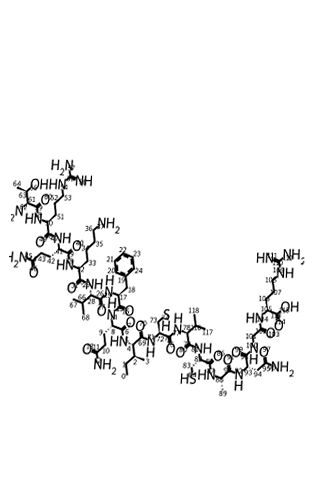 CC[C@H](C)[C@H](NC(=O)[C@H](CCC(N)=O)NC(=O)[C@H](Cc1ccccc1)NC(=O)[C@@H](NC(=O)[C@H](CCCCN)NC(=O)[C@H](CCC(N)=O)NC(=O)[C@H](CCCNC(=N)N)NC(=O)[C@@H](N)[C@@H](C)O)C(C)C)C(=O)N[C@@H](CS)C(=O)N[C@H](C(=O)N[C@@H](CS)C(=O)N[C@@H](C)C(=O)N[C@@H](CC(N)=O)C(=O)NCC(=O)N[C@@H](CCCNC(=N)N)C(=O)O)C(C)C